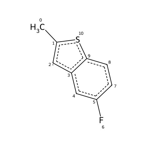 Cc1[c]c2cc(F)ccc2s1